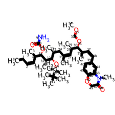 CC/C=C\C(C)[C@H](OC(N)=O)[C@@H](C)[C@H](O[Si](C)(C)C(C)(C)C)[C@@H](C)C/C(C)=C\[C@H](C)[C@@H](OCOC)C(C)/C=C\c1ccc2c(c1)N(C)C(=O)CO2